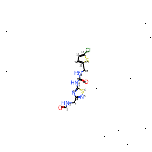 O=CNCc1nsc(NC(=O)NCc2ccc(Cl)s2)n1